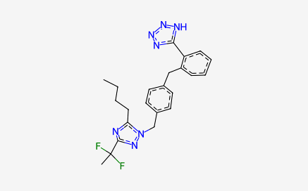 CCCCc1nc(C(C)(F)F)nn1Cc1ccc(Cc2ccccc2-c2nnn[nH]2)cc1